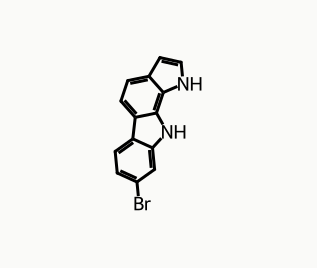 Brc1ccc2c(c1)[nH]c1c2ccc2cc[nH]c21